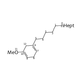 CCCCCCCCCCCCC1=CCC=C(OC)C1